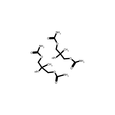 CCCC(C)(COC(N)=O)COC(N)=O.CCCC(C)(COC(N)=O)COC(N)=O